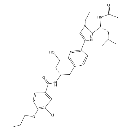 CCCOc1ccc(C(=O)N[C@H](CCO)Cc2ccc(-c3cn(CC)c([C@@H](CC(C)C)NC(C)=O)n3)cc2)cc1Cl